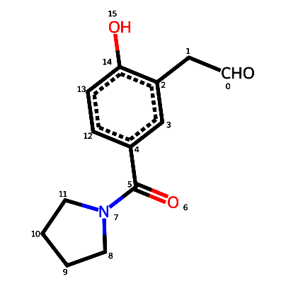 O=CCc1cc(C(=O)N2CCCC2)ccc1O